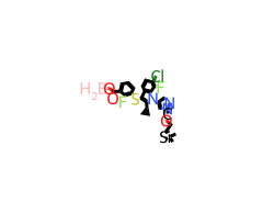 BOC(=O)c1cccc(Sc2c(C3CC3)n(-c3cnn(COCC[Si](C)(C)C)c3)c3c(F)c(Cl)ccc23)c1F